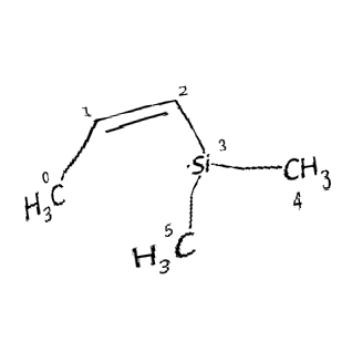 C/C=C\[Si](C)C